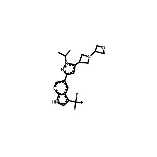 CC(C)n1nc(-c2cnc3[nH]cc(C(F)(F)F)c3c2)cc1C1CN(C2COC2)C1